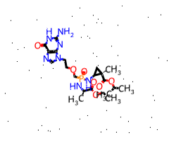 CCOC(=O)[C@@H](C)NP(=O)(COCCn1cnc2c(=O)[nH]c(N)nc21)NC1C[C@@]1(C)C(=O)OC(C)C